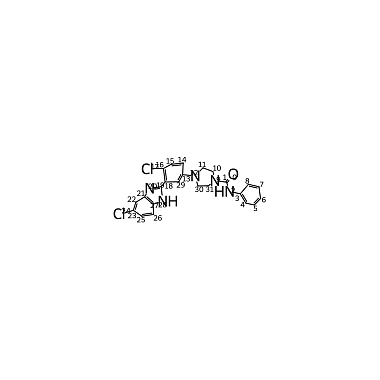 O=C(Nc1ccccc1)N1CCN(c2ccc(Cl)c(-c3nc4cc(Cl)ccc4[nH]3)c2)CC1